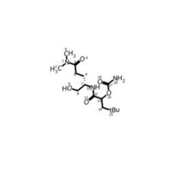 CN(C)C(=O)CC[C@@H](CO)NC(=O)C(CC(C)(C)C)OC(N)=O